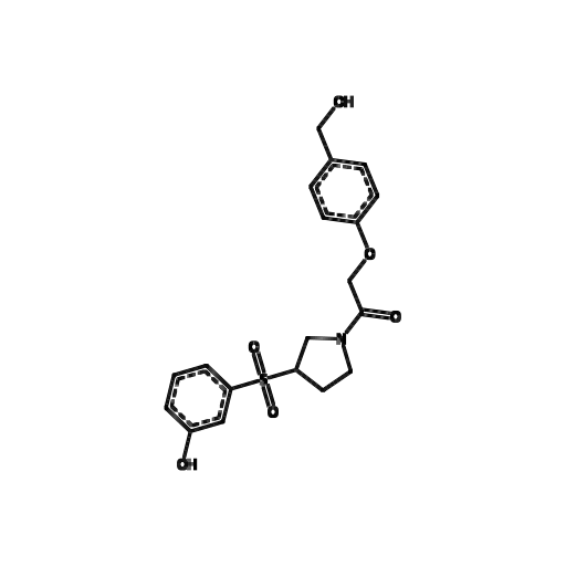 O=C(COc1ccc(CO)cc1)N1CCC(S(=O)(=O)c2cccc(O)c2)C1